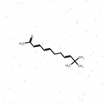 CC(=O)C=CC=CCCC=CC(C)(C)C